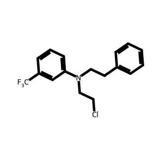 FC(F)(F)c1cccc(N(CCCl)CCc2ccccc2)c1